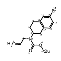 C=CCN(C(=O)OC(C)(C)C)C1CCc2cc(Br)ccc2C1